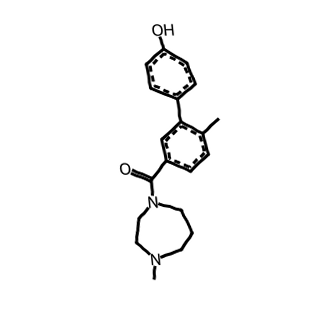 Cc1ccc(C(=O)N2CCCN(C)CC2)cc1-c1ccc(O)cc1